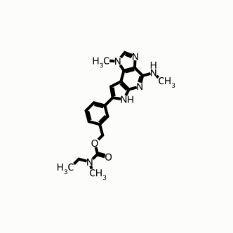 CCN(C)C(=O)OCc1cccc(-c2cc3c(nc(NC)c4ncn(C)c43)[nH]2)c1